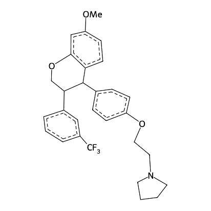 COc1ccc2c(c1)OCC(c1cccc(C(F)(F)F)c1)C2c1ccc(OCCN2CCCC2)cc1